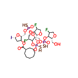 O=C(O[C@H]1C[C@H](I)O[C@@H]1COP(=O)(S)O[C@H]1[C@@H](F)CO[C@@H]1COP(=O)(S)O[C@H]1[C@@H](F)CO[C@@H]1COP(=O)(S)O[C@H]1[C@@H](F)CO[C@@H]1CO)C1CCCCCCC1